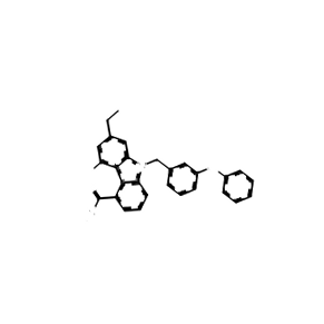 CCc1cc(O)c2c3c(C(N)=O)cccc3n(Cc3cccc(Oc4ccccc4)c3)c2c1